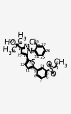 CCS(=O)(=O)c1cccc(-c2ccc(-c3cc(C(C)(C)O)nn3-c3ccccc3Cl)s2)c1